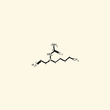 C=CCN(CCCCC)NC(N)=O